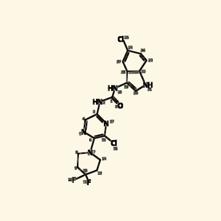 O=C(Nc1cnc(N2CCC(F)(F)CC2)c(Cl)n1)Nc1c[nH]c2ccc(Cl)cc12